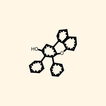 Oc1cc(-c2ccccc2)c(Oc2ccccc2)c(-c2ccccc2)c1-c1ccccc1